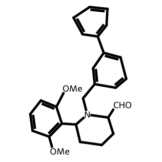 COc1cccc(OC)c1C1CCCC(C=O)N1Cc1cccc(-c2ccccc2)c1